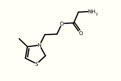 CC1=CSCN1CCOC(=O)CN